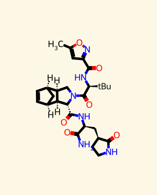 Cc1cc(C(=O)N[C@H](C(=O)N2C[C@H]3[C@@H]([C@H]2C(=O)N[C@@H](C[C@@H]2CCNC2=O)C(N)=O)[C@H]2C=C[C@@H]3C2)C(C)(C)C)no1